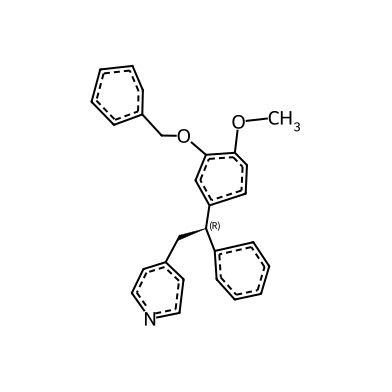 COc1ccc([C@H](Cc2ccncc2)c2ccccc2)cc1OCc1ccccc1